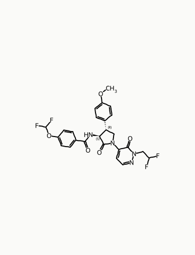 COc1ccc([C@@H]2CN(c3ccnn(CC(F)F)c3=O)C(=O)[C@H]2NC(=O)c2ccc(OC(F)F)cc2)cc1